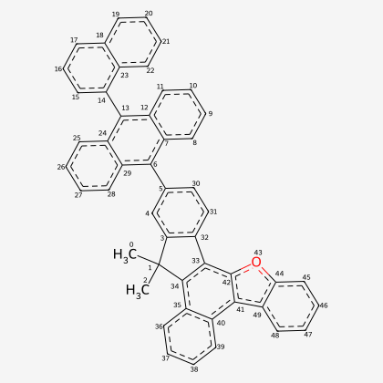 CC1(C)c2cc(-c3c4ccccc4c(-c4cccc5ccccc45)c4ccccc34)ccc2-c2c1c1ccccc1c1c2oc2ccccc21